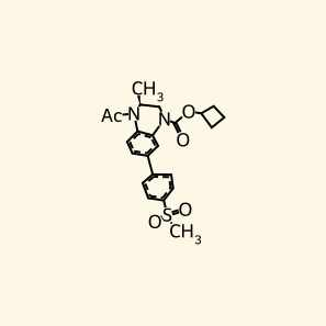 CC(=O)N1c2ccc(-c3ccc(S(C)(=O)=O)cc3)cc2N(C(=O)OC2CCC2)C[C@@H]1C